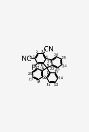 N#Cc1cc(C#N)c2c(c1F)C(c1ccccc1)(c1ccccc1)c1ccccc1-2